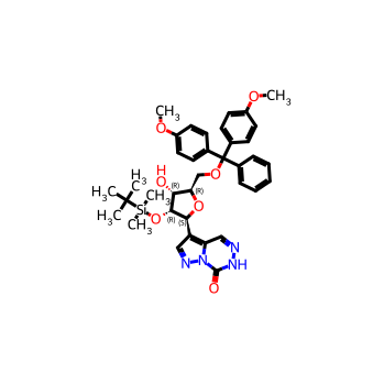 COc1ccc(C(OC[C@H]2O[C@@H](c3cnn4c(=O)[nH]ncc34)[C@H](O[Si](C)(C)C(C)(C)C)[C@@H]2O)(c2ccccc2)c2ccc(OC)cc2)cc1